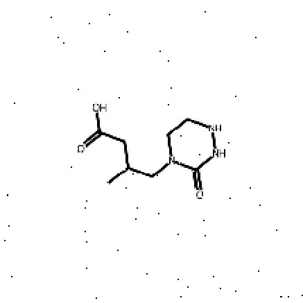 CC(CC(=O)O)CN1CCNNC1=O